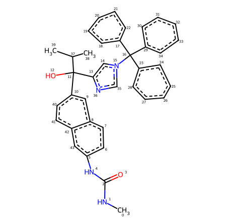 CNC(=O)Nc1ccc2cc(C(O)(c3cn(C(c4ccccc4)(c4ccccc4)c4ccccc4)cn3)C(C)C)ccc2c1